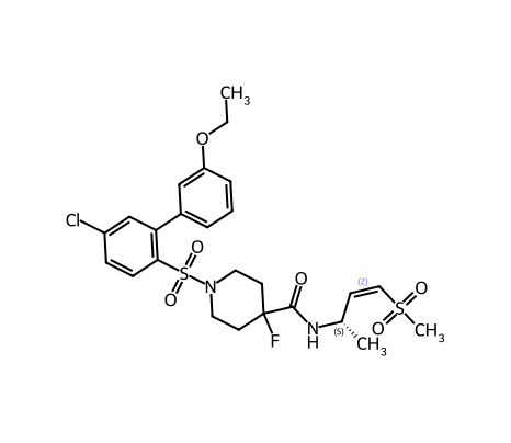 CCOc1cccc(-c2cc(Cl)ccc2S(=O)(=O)N2CCC(F)(C(=O)N[C@@H](C)/C=C\S(C)(=O)=O)CC2)c1